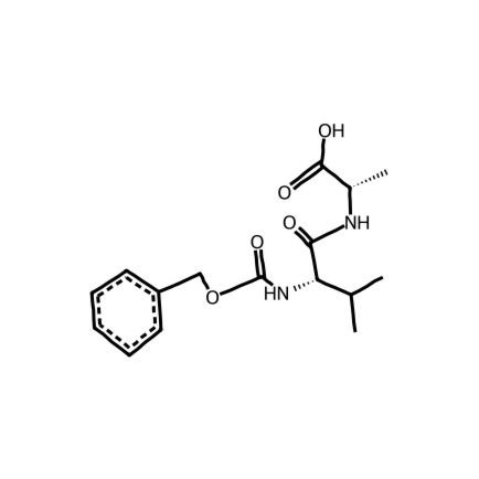 CC(C)[C@H](NC(=O)OCc1ccccc1)C(=O)N[C@@H](C)C(=O)O